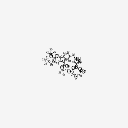 CN1CC(=O)OB(c2cn(Cc3ccc4cc(CN(CC5CCC5)C(=O)OC(C)(C)C)n(C(=O)OC(C)(C)C)c4c3)nn2)OC(=O)C1